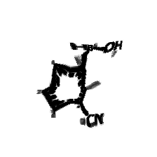 N#Cc1cccc(BO)c1